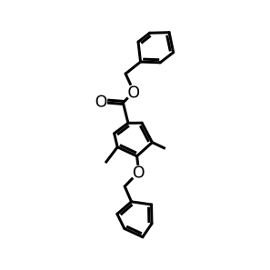 Cc1cc(C(=O)OCc2ccccc2)cc(C)c1OCc1ccccc1